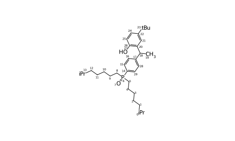 CC(C)CCCCCP(=O)(CCCCCC(C)C)c1ccc(C(C)c2cc(C(C)(C)C)ccc2O)cc1